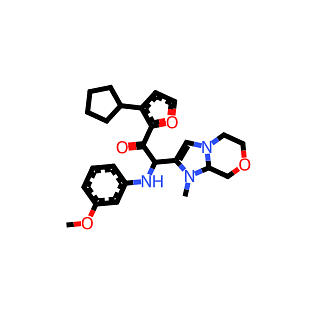 COc1cccc(NC(C(=O)c2occc2C2CCCC2)C2=CN3CCOCC3N2C)c1